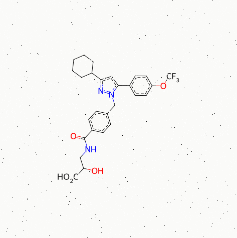 O=C(NCC(O)C(=O)O)c1ccc(Cn2nc(C3CCCCC3)cc2-c2ccc(OC(F)(F)F)cc2)cc1